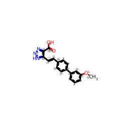 COc1cccc(-c2ccc(/C=C/c3[nH]nnc3C(=O)O)cc2)c1